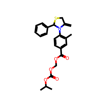 C=C1CSC(c2ccccc2)N1c1ccc(C(=O)OCOC(=O)OC(C)C)cc1C